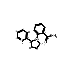 NC(=O)c1ccccc1N1CCCC1c1ccccn1